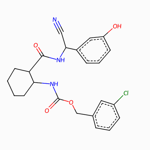 N#CC(NC(=O)C1CCCCC1NC(=O)OCc1cccc(Cl)c1)c1cccc(O)c1